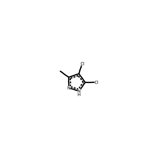 Cc1n[nH]c(Cl)c1Cl